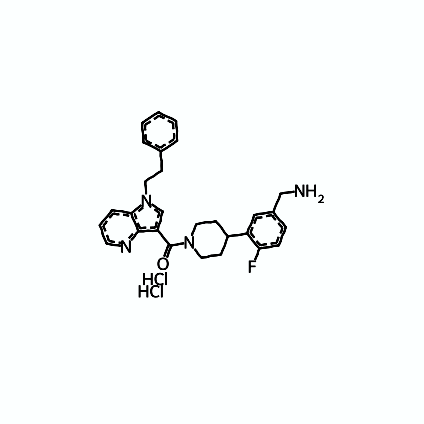 Cl.Cl.NCc1ccc(F)c(C2CCN(C(=O)c3cn(CCc4ccccc4)c4cccnc34)CC2)c1